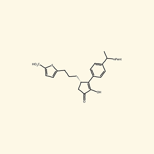 CCCCCC(C)c1ccc(C2=C(O)C(=O)C[C@@H]2CCCc2ccc(C(=O)O)s2)cc1